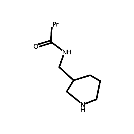 CC(C)C(=O)NCC1CCCNC1